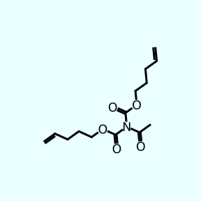 C=CCCCOC(=O)N(C(C)=O)C(=O)OCCCC=C